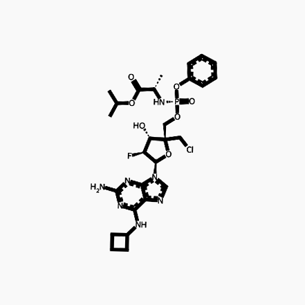 CC(C)OC(=O)[C@H](C)N[P@](=O)(OC[C@@]1(CCl)O[C@@H](n2cnc3c(NC4CCC4)nc(N)nc32)[C@@H](F)[C@@H]1O)Oc1ccccc1